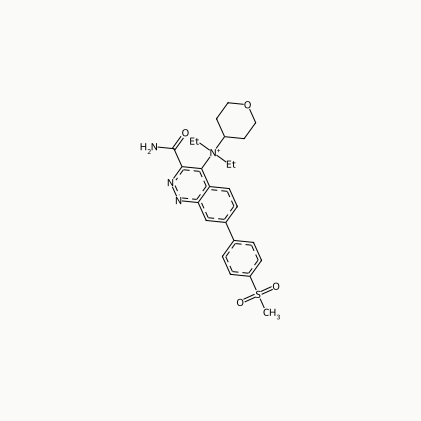 CC[N+](CC)(c1c(C(N)=O)nnc2cc(-c3ccc(S(C)(=O)=O)cc3)ccc12)C1CCOCC1